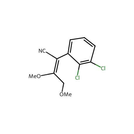 COCC(OC)=C(C#N)c1cccc(Cl)c1Cl